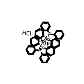 Cl.[Cl][Rh]([Cl])([As](c1ccccc1)(c1ccccc1)P(c1ccccc1)c1ccccc1)[As](c1ccccc1)(c1ccccc1)P(c1ccccc1)c1ccccc1